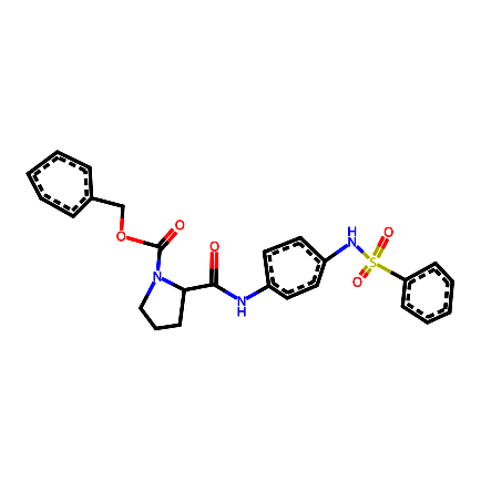 O=C(Nc1ccc(NS(=O)(=O)c2ccccc2)cc1)C1CCCN1C(=O)OCc1ccccc1